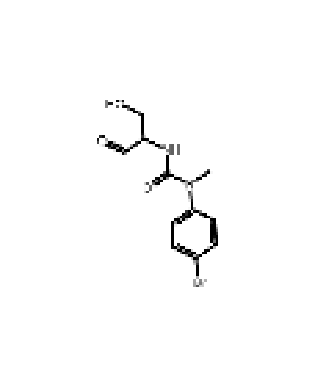 CN(C(=O)NC(C=O)CO)c1ccc(Br)cc1